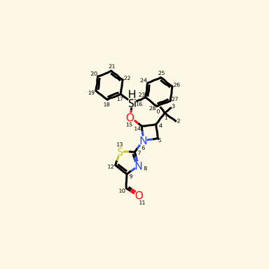 CC(C)(C)C1CN(c2nc(C=O)cs2)C1O[SiH](c1ccccc1)c1ccccc1